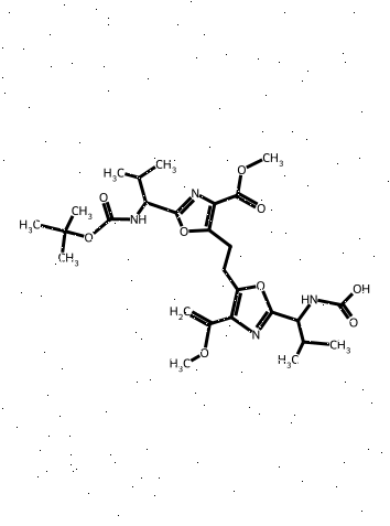 C=C(OC)c1nc(C(NC(=O)O)C(C)C)oc1CCc1oc(C(NC(=O)OC(C)(C)C)C(C)C)nc1C(=O)OC